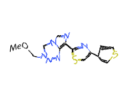 COCN1Cn2cnc(-c3nc(-c4ccsc4)cs3)c2N=N1